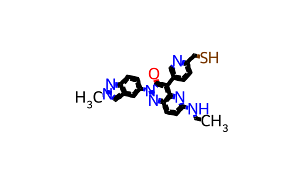 CCNc1ccc2nn(-c3ccc4nn(C)cc4c3)c(=O)c(-c3ccc(CS)nc3)c2n1